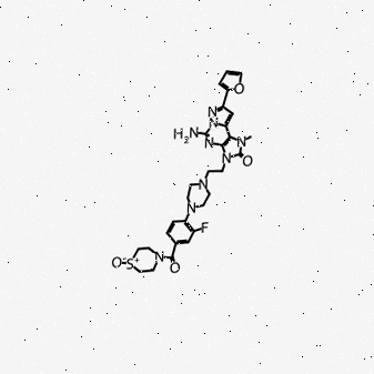 Cn1c(=O)n(CCN2CCN(c3ccc(C(=O)N4CC[S+]([O-])CC4)cc3F)CC2)c2nc(N)n3nc(-c4ccco4)cc3c21